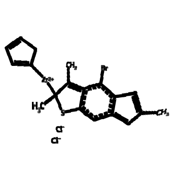 CC1=Cc2c(Br)c3c(cc2=C1)S[C](C)([Zr+2][C]1=CC=CC1)C=3C.[Cl-].[Cl-]